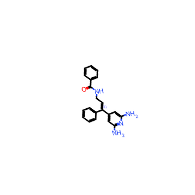 Nc1cc(/C(=C/CNC(=O)c2ccccc2)c2ccccc2)cc(N)n1